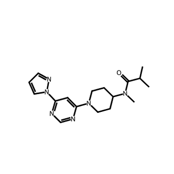 CC(C)C(=O)N(C)C1CCN(c2cc(-n3cccn3)ncn2)CC1